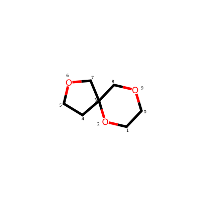 C1COC2(CCOC2)CO1